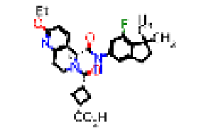 CCOc1ccc2c(n1)CCN(C(=O)[C@H]1C[C@@H](C(=O)O)C1)[C@H]2C(=O)Nc1cc(F)c2c(c1)CCC2(C)C